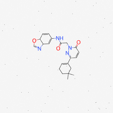 CC1(C)CCC=C(c2ccc(=O)n(CC(=O)NC3=CC4N=COC4C=C3)n2)C1